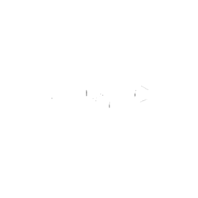 O=C(O)CCC(=O)NNC(=O)OCc1ccccc1